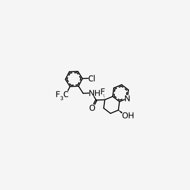 O=C(NCc1c(Cl)cccc1C(F)(F)F)[C@]1(F)CC[C@H](O)c2ncccc21